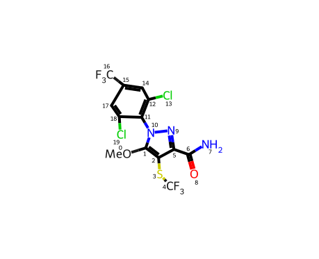 COc1c(SC(F)(F)F)c(C(N)=O)nn1-c1c(Cl)cc(C(F)(F)F)cc1Cl